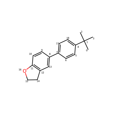 CC(C)(C)c1ccc(-c2ccc3c(c2)CCO3)cc1